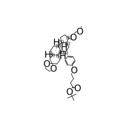 COCO[C@H]1CC[C@H]2[C@@H]3CC[C@H]4CC5(CC[C@]4(C)[C@H]3[C@@H](c3ccc(OCCCC(=O)OC(C)(C)C)cc3)C[C@]12C)OCCO5